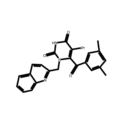 Cc1cc(C)cc(C(=O)c2c(C(C)C)c(=O)[nH]c(=O)n2Cc2ccc3ccccc3n2)c1